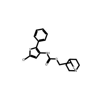 O=C(Nc1cc(Cl)sc1-c1ccccc1)OCC1CN2CCC1CC2